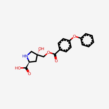 O=C(OC[C@]1(O)CN[C@H](C(=O)O)C1)c1ccc(Oc2ccccc2)cc1